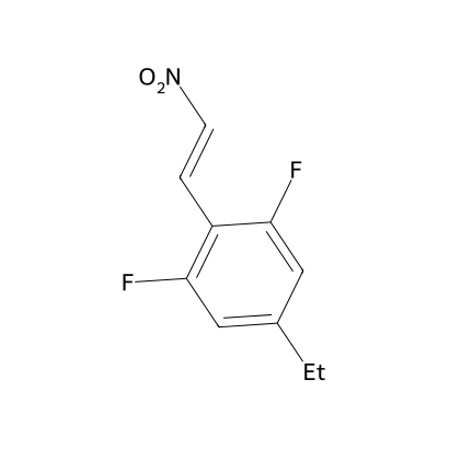 CCc1cc(F)c(C=C[N+](=O)[O-])c(F)c1